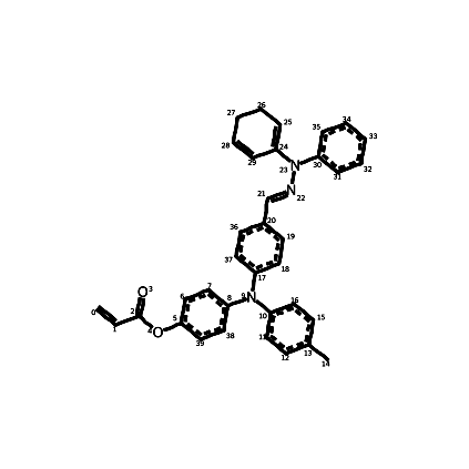 C=CC(=O)Oc1ccc(N(c2ccc(C)cc2)c2ccc(/C=N/N(C3=CCCC=C3)c3ccccc3)cc2)cc1